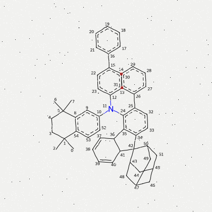 CC1(C)CCC(C)(C)c2cc(N(c3ccc(-c4ccccc4)cc3)c3c(-c4ccccc4)ccc4c3C3C=CC=CC3C43C4CC5CC(C4)CC3C5)ccc21